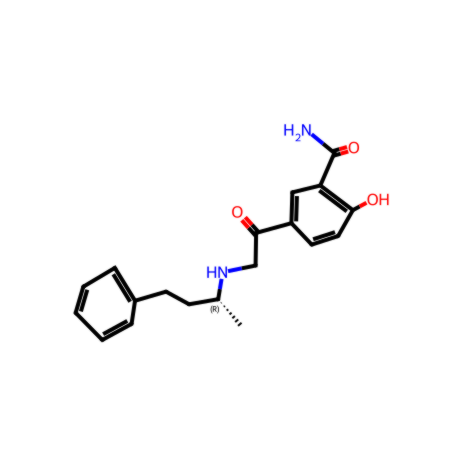 C[C@H](CCc1ccccc1)NCC(=O)c1ccc(O)c(C(N)=O)c1